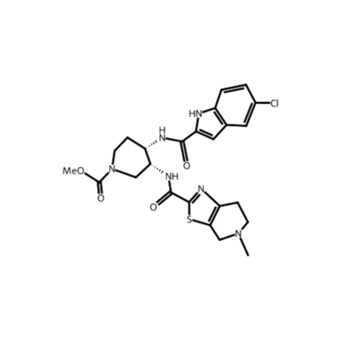 COC(=O)N1CC[C@H](NC(=O)c2cc3cc(Cl)ccc3[nH]2)[C@H](NC(=O)c2nc3c(s2)CN(C)CC3)C1